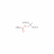 CCCCCCCCC(C)(CCCCCC)COC(=O)CCCC